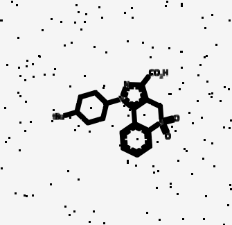 CC(C)(C)C1CCC(n2nc(C(=O)O)c3c2-c2ccccc2S(=O)(=O)C3)CC1